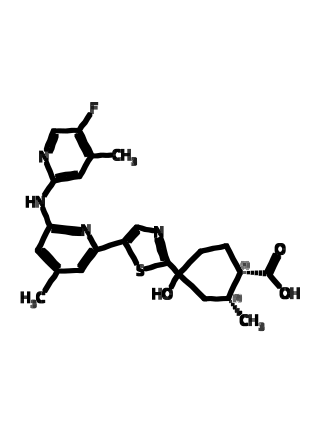 Cc1cc(Nc2cc(C)c(F)cn2)nc(-c2cnc(C3(O)CC[C@H](C(=O)O)[C@H](C)C3)s2)c1